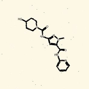 Cn1nc(NC(=O)N2CCC(O)CC2)cc1C(=O)Nc1ccccn1